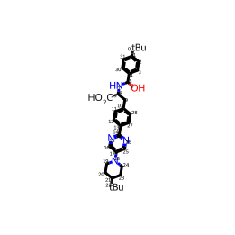 CC(C)(C)c1ccc(C(O)N[C@@H](Cc2ccc(-c3ncc(N4CCC(C(C)(C)C)CC4)cn3)cc2)C(=O)O)cc1